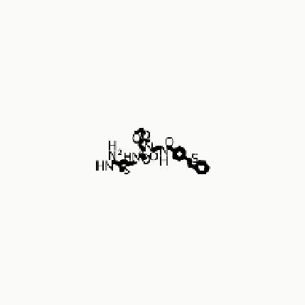 N=C(N)c1csc(CNC(=O)[C@@H]2CC3(CN2C(=O)CNC(=O)c2ccc(-c4cc5ccccc5s4)cc2)OCCO3)c1